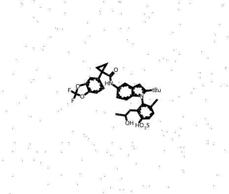 Cc1ccc(S(=O)(=O)O)c(CC(C)O)c1-n1c(C(C)(C)C)cc2cc(NC(=O)C3(c4ccc5c(c4)OC(F)(F)O5)CC3)ccc21